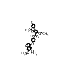 CCOc1cn(-c2ccc(F)cc2C(C)C)nc1C(=O)Nc1ccc(Oc2ccnc3cc(OC)c(OC)cc23)cn1